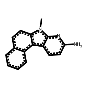 Cn1c2ccc3ccccc3c2c2ccc(N)nc21